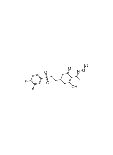 CCON=C(C)C1=C(O)CC(CCS(=O)(=O)c2ccc(F)c(F)c2)CC1=O